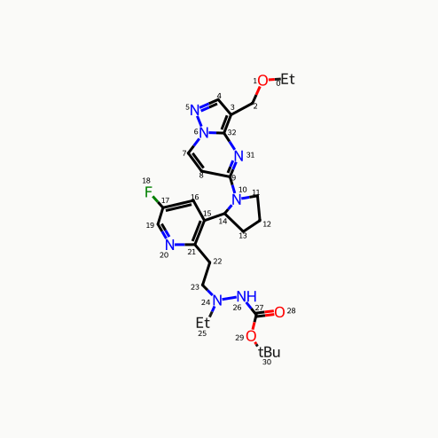 CCOCc1cnn2ccc(N3CCCC3c3cc(F)cnc3CCN(CC)NC(=O)OC(C)(C)C)nc12